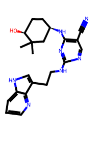 CC1(C)C[C@H](Nc2nc(NCCc3c[nH]c4cccnc34)ncc2C#N)CC[C@@H]1O